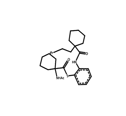 CC(=O)NC1(C(=O)Sc2ccccc2NC(=O)C2(CCC(C)C)CCCCC2)CCCCC1